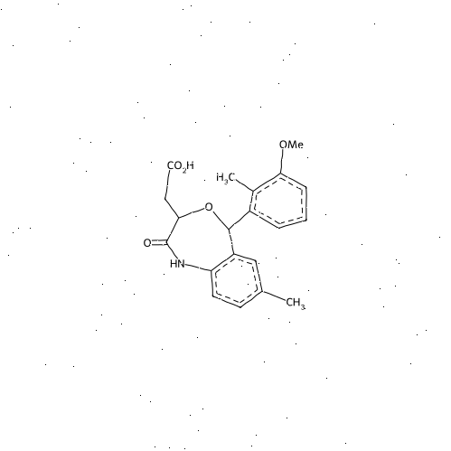 COc1cccc(C2OC(CC(=O)O)C(=O)Nc3ccc(C)cc32)c1C